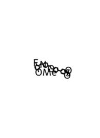 COc1ccc(F)c(CN2CCC(COc3ccc(-c4ccc(S(C)(=O)=O)cc4)cc3)CC2)c1